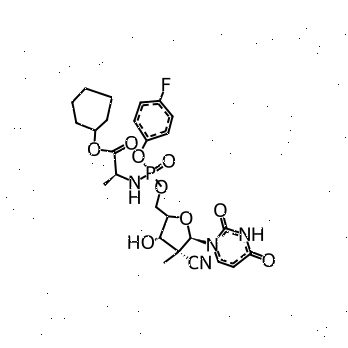 C[C@H](NP(=O)(OCC1O[C@@H](n2ccc(=O)[nH]c2=O)[C@](C)(C#N)[C@@H]1O)Oc1ccc(F)cc1)C(=O)OC1CCCCC1